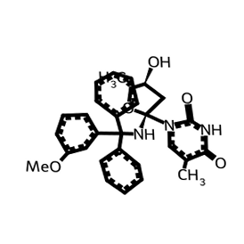 COc1cccc(C(N[C@]2(n3cc(C)c(=O)[nH]c3=O)C[C@H](O)[C@@H](C)O2)(c2ccccc2)c2ccccc2)c1